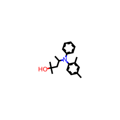 Cc1ccc(N(c2ccccc2)C(C)CC(C)(C)O)c(C)c1